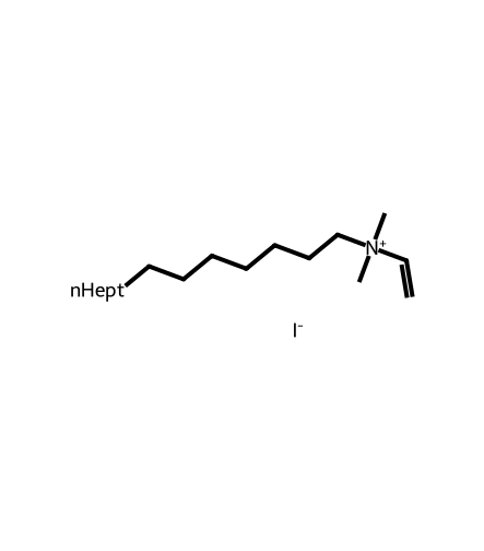 C=C[N+](C)(C)CCCCCCCCCCCCCC.[I-]